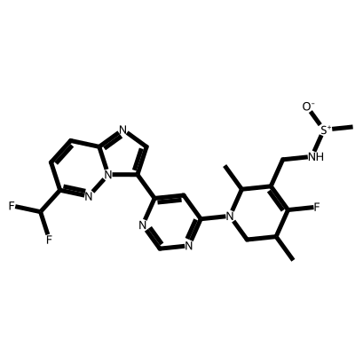 CC1CN(c2cc(-c3cnc4ccc(C(F)F)nn34)ncn2)C(C)C(CN[S+](C)[O-])=C1F